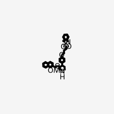 COc1c(COC2CNCCC2c2ccc(OCCCS(=O)(=O)c3nc4ccccc4s3)cc2)ccc2ccccc12